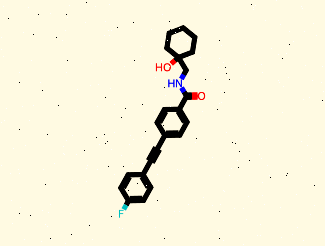 O=C(NCC1(O)CCCCC1)c1ccc(C#Cc2ccc(F)cc2)cc1